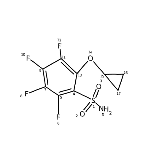 NS(=O)(=O)c1c(F)c(F)c(F)c(F)c1OC1CC1